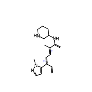 C=C/C(=C\C=C(/C)C(=C)NC1CCCNC1)c1ccnn1C